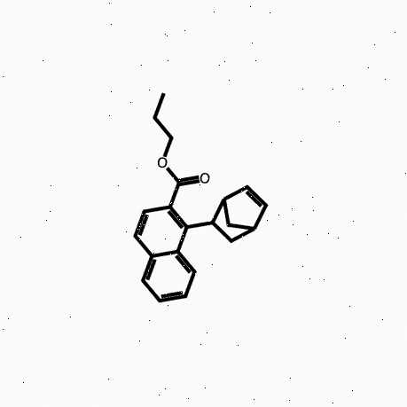 CCCOC(=O)c1ccc2ccccc2c1C1CC2C=CC1C2